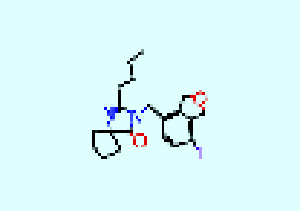 CCCCC1=NC2(CCCC2)C(=O)N1Cc1ccc(I)c2c1COC2